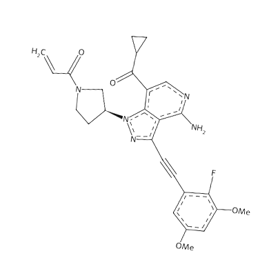 C=CC(=O)N1CC[C@H](n2nc(C#Cc3cc(OC)cc(OC)c3F)c3c(N)ncc(C(=O)C4CC4)c32)C1